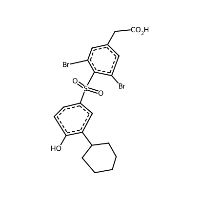 O=C(O)Cc1cc(Br)c(S(=O)(=O)c2ccc(O)c(C3CCCCC3)c2)c(Br)c1